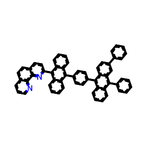 c1ccc(-c2ccc3c(-c4ccc(-c5c6ccccc6c(-c6ccc7ccc8cccnc8c7n6)c6ccccc56)cc4)c4ccccc4c(-c4ccccc4)c3c2)cc1